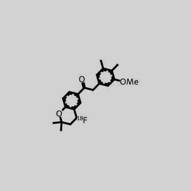 COc1cc(CC(=O)c2ccc3c(c2)C([18F])CC(C)(C)O3)cc(C)c1C